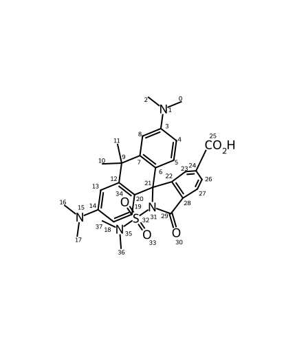 CN(C)c1ccc2c(c1)C(C)(C)c1cc(N(C)C)ccc1C21c2cc(C(=O)O)ccc2C(=O)N1S(=O)(=O)N(C)C